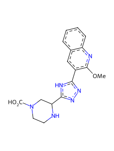 COc1nc2ccccc2cc1-c1nnc(C2CN(C(=O)O)CCN2)[nH]1